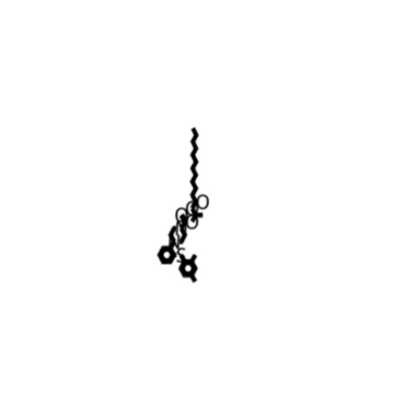 CCCCCCCCCCCC(=O)OC(C)OC(=O)N1CCN(c2ccccc2Sc2ccc(C)cc2C)CC1